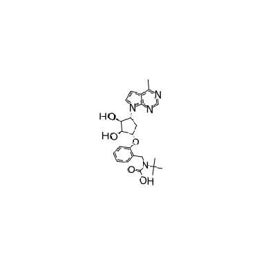 Cc1ncnc2c1ccn2[C@@H]1C[C@H](Oc2ccccc2CN(C(=O)O)C(C)(C)C)[C@@H](O)[C@H]1O